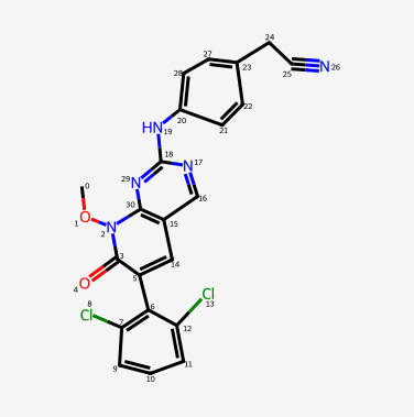 COn1c(=O)c(-c2c(Cl)cccc2Cl)cc2cnc(Nc3ccc(CC#N)cc3)nc21